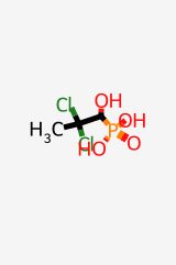 CC(Cl)(Cl)C(O)P(=O)(O)O